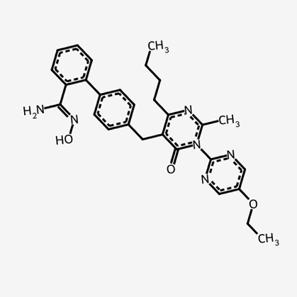 CCCCc1nc(C)n(-c2ncc(OCC)cn2)c(=O)c1Cc1ccc(-c2ccccc2C(N)=NO)cc1